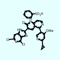 CCc1nc(Cl)cc2[nH]c(-c3cc4c(-c5cnc(C6CC6)cc5OC)nccc4[nH]c3=O)nc12.O=S(=O)(O)c1ccccc1